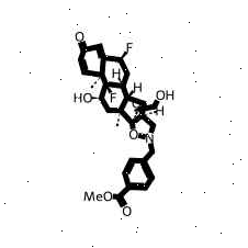 COC(=O)c1ccc(CN2C[C@@H]3C[C@H]4[C@@H]5C[C@H](F)C6=CC(=O)C=C[C@]6(C)[C@@]5(F)[C@@H](O)C[C@]4(C)[C@]3(C(=O)CO)O2)cc1